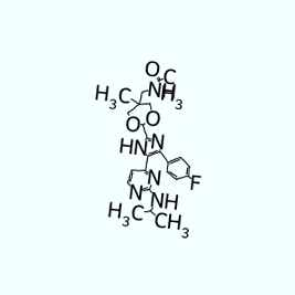 CC(=O)NCC1(C)COC(c2nc(-c3ccc(F)cc3)c(-c3ccnc(NC(C)C)n3)[nH]2)OC1